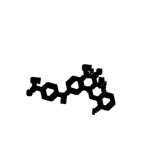 CC1C(=O)N(C)c2ccc(Nc3ccc(C(=O)O)cc3)cc2N1Cc1c(F)cccc1F